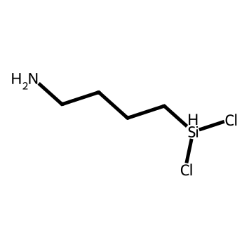 NCCCC[SiH](Cl)Cl